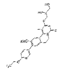 COc1cc2c(cc1-c1ccc(OCC(F)(F)F)nc1)CCn1c-2c(C)c(OC[C@@H](O)CO)cc1=O